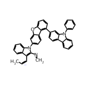 C=Nc1c(/C=C\C)c2ccccc2n1-c1ccc2c(c1)oc1cccc(-c3ccc4c5ccccc5n(-c5ccccc5)c4c3)c12